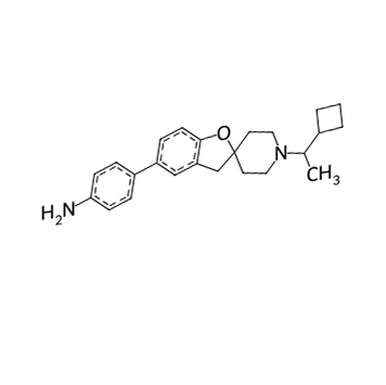 CC(C1CCC1)N1CCC2(CC1)Cc1cc(-c3ccc(N)cc3)ccc1O2